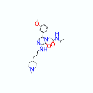 COc1cccc(-c2cnc(NCCCC3CCN(C)CC3)c(=O)n2CC(=O)NC(C)C)c1